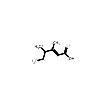 CCC(C)/C(C)=C/C(=O)O